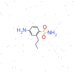 CCCc1cc(N)ccc1S(N)(=O)=O